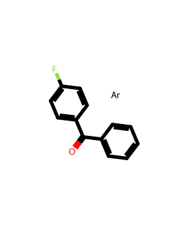 O=C(c1ccccc1)c1ccc(F)cc1.[Ar]